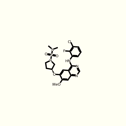 COc1cc2ncnc(Nc3cccc(Cl)c3F)c2cc1O[C@H]1CCN(S(=O)(=O)N(C)C)C1